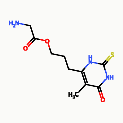 Cc1c(CCCOC(=O)CN)[nH]c(=S)[nH]c1=O